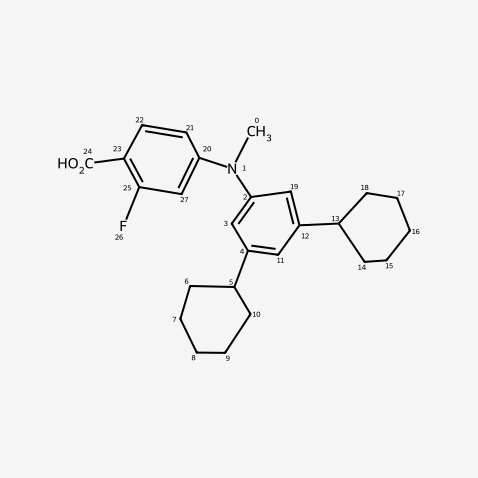 CN(c1cc(C2CCCCC2)cc(C2CCCCC2)c1)c1ccc(C(=O)O)c(F)c1